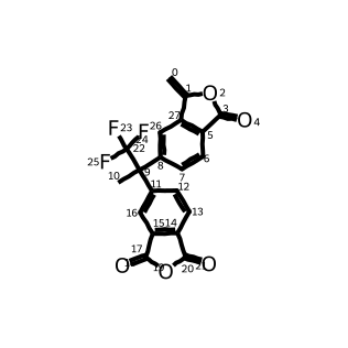 C=C1OC(=O)c2ccc(C(C)(c3ccc4c(c3)C(=O)OC4=O)C(F)(F)F)cc21